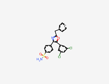 NS(=O)(=O)c1ccc(-c2nc(Cc3ccccc3)oc2-c2cc(Cl)cc(Cl)c2)cc1